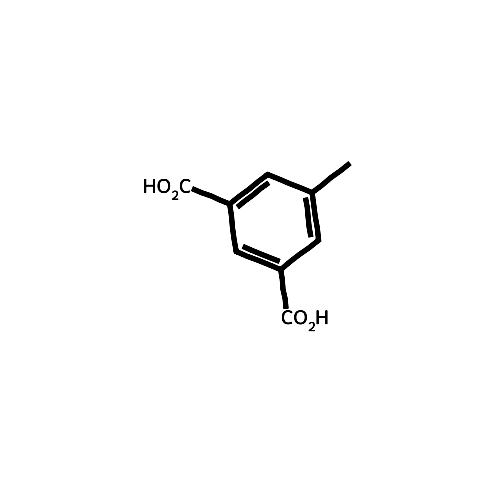 Cc1cc(C(=O)O)cc(C(=O)O)c1